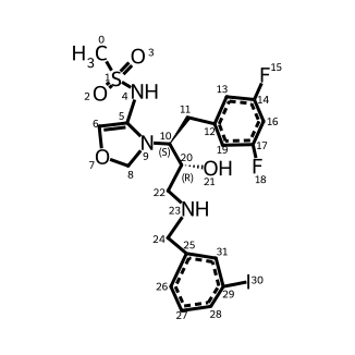 CS(=O)(=O)NC1=COCN1[C@@H](Cc1cc(F)cc(F)c1)[C@H](O)CNCc1cccc(I)c1